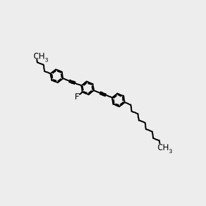 CCCCCCCCCCc1ccc(C#Cc2ccc(C#Cc3ccc(CCCC)cc3)c(F)c2)cc1